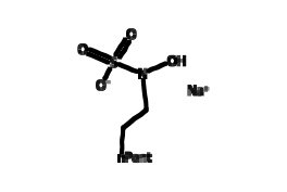 CCCCCCCN(O)S(=O)(=O)[O-].[Na+]